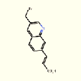 CC(C)Cc1cnc2cc(/C=C/C(=O)O)ccc2c1